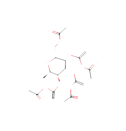 [CH2][C@H]1O[C@H](COC(C)=O)[C@H](OC(=C)OC(C)=O)[C@H](OC(=C)OC(C)=O)[C@H]1OC(=C)OC(C)=O